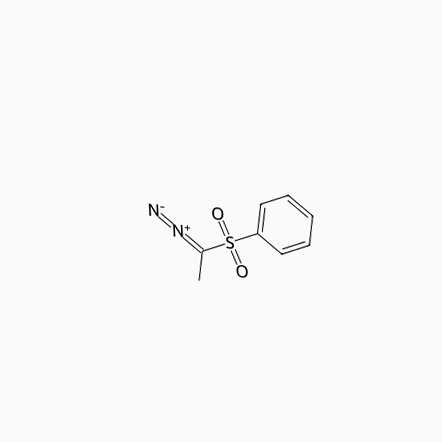 CC(=[N+]=[N-])S(=O)(=O)c1ccccc1